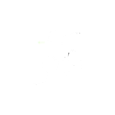 COc1ccc(F)c(-c2ccc(CC(C)(C)C)cc2[C@@H](OC)C2(C)CC2)c1